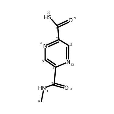 CNC(=O)c1cnc(C(=O)S)cn1